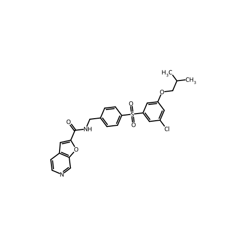 CC(C)COc1cc(Cl)cc(S(=O)(=O)c2ccc(CNC(=O)c3cc4ccncc4o3)cc2)c1